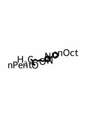 CCCCCCCCc1ccc(-c2ncc(OCCCC(C)C(=O)CCCCC)cn2)cc1